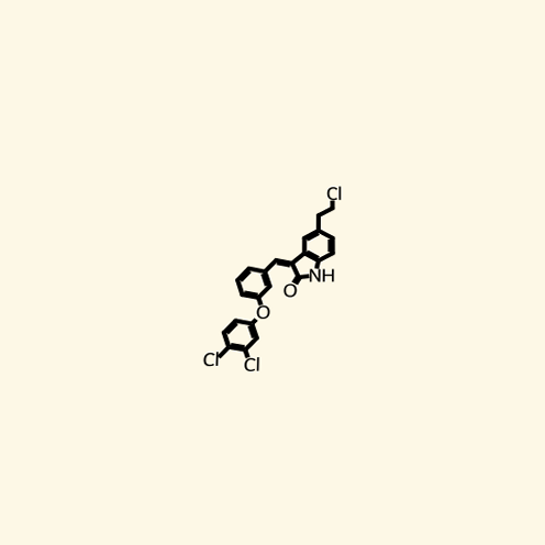 O=C1Nc2ccc(CCCl)cc2C1=Cc1cccc(Oc2ccc(Cl)c(Cl)c2)c1